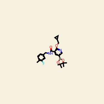 Cc1ccc(CNC(=O)c2cc(B3OC(C)(C)C(C)(C)O3)cnc2OCC2CC2)cc1F